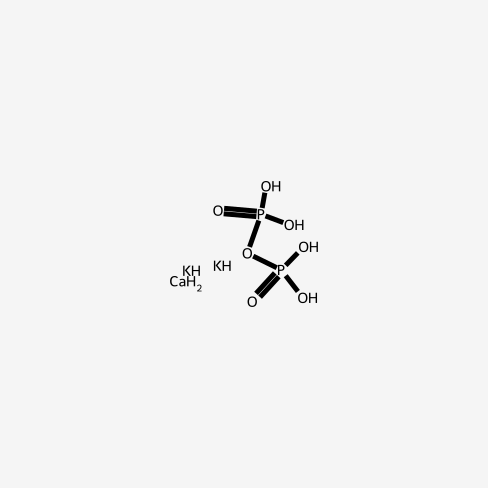 O=P(O)(O)OP(=O)(O)O.[CaH2].[KH].[KH]